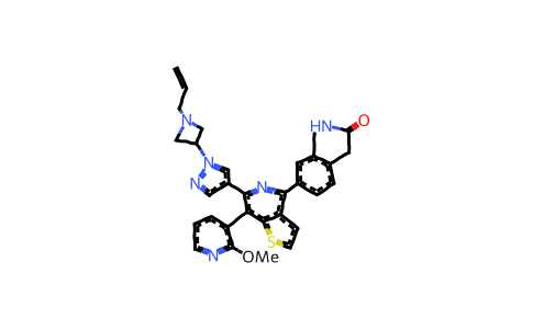 C=CCN1CC(n2cc(-c3nc(-c4ccc5c(c4)CNC(=O)C5)c4ccsc4c3-c3cccnc3OC)cn2)C1